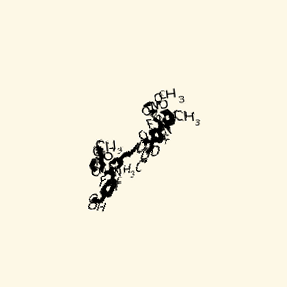 CCOC(=O)C(C(=O)OCCCc1ccn2c(C[C@H]3CN(C(=O)OC)CCO3)c(-c3c(F)cc(CC(=O)O)cc3F)nc2c1)c1cc(F)c(-c2nc3cc(C)ccn3c2C[C@H]2CN(C(=O)OC)CCO2)c(F)c1